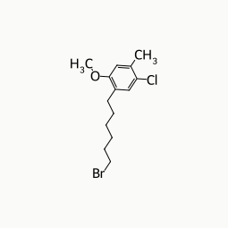 COc1cc(C)c(Cl)cc1CCCCCCBr